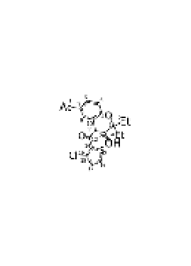 CCC1(CC)Oc2ccc(C(C)=O)cc2[C@H](C(=O)c2sccc2Cl)[C@@H]1O